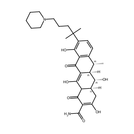 C[C@H]1c2ccc(C(C)(C)CCCN3CCCCC3)c(O)c2C(=O)C2=C(O)C3C(=O)C(C(N)=O)=C(O)C[C@@H]3[C@@H](O)[C@@H]21